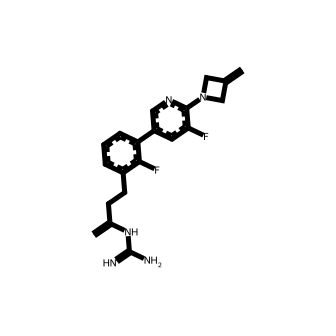 C=C1CN(c2ncc(-c3cccc(CCC(=C)NC(=N)N)c3F)cc2F)C1